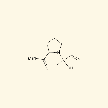 C=CC(C)(O)N1CCCC1C(=O)NC